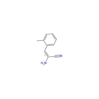 Cc1ccccc1/C=C(/N)C#N